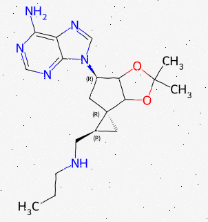 CCCNC[C@@H]1C[C@@]12C[C@@H](n1cnc3c(N)ncnc31)C1OC(C)(C)OC12